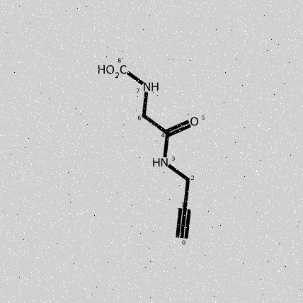 C#CCNC(=O)CNC(=O)O